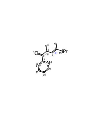 C/C(=C\[C@H](C)C(=O)c1ncccn1)C(C)C